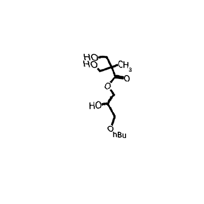 CCCCOCC(O)COC(=O)C(C)(CO)CO